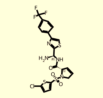 N[C@H](NC(=O)[C@@H]1C=CCN1S(=O)(=O)c1ccc(Cl)s1)c1nc(-c2ccc(C(F)(F)F)cc2)cs1